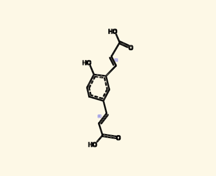 O=C(O)/C=C/c1ccc(O)c(/C=C/C(=O)O)c1